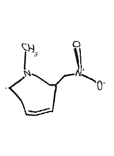 CN1[CH]C=CC1[N+](=O)[O-]